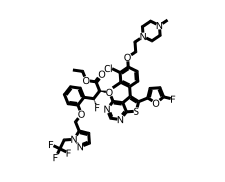 CCOC(=O)[C@@H](Oc1ncnc2sc(-c3ccc(F)o3)c(-c3ccc(OCCN4CCN(C)CC4)c(Cl)c3C)c12)[C@H](F)c1ccccc1OCc1ccnn1CC(F)(F)F